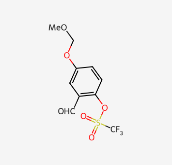 COCOc1ccc(OS(=O)(=O)C(F)(F)F)c(C=O)c1